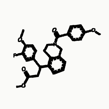 COC(=O)CC(c1ccc(OC)c(F)c1)c1cccc2c1CCN(C(=O)c1ccc(OC)cc1)C2